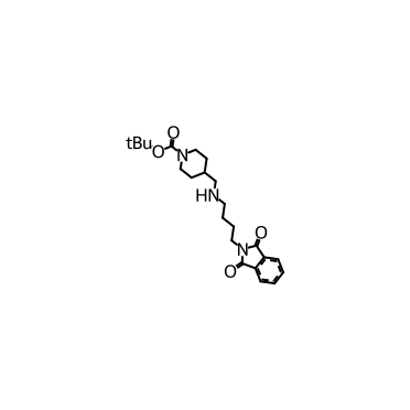 CC(C)(C)OC(=O)N1CCC(CNCCCCN2C(=O)c3ccccc3C2=O)CC1